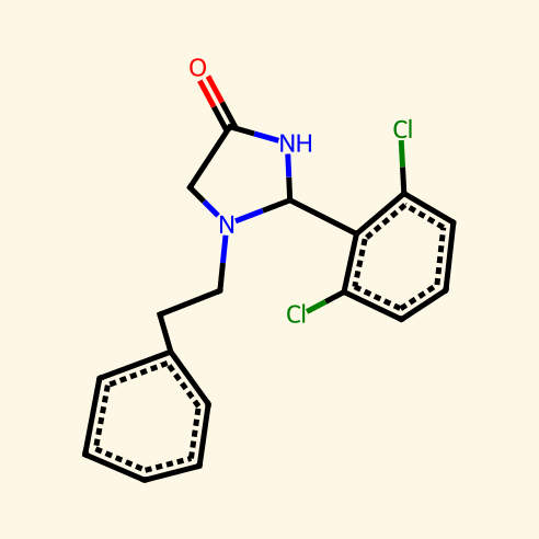 O=C1CN(CCc2ccccc2)C(c2c(Cl)cccc2Cl)N1